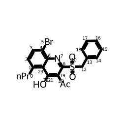 CCCc1ccc(Br)c2nc(S(=O)(=O)Cc3ccccc3)c(C(C)=O)c(O)c12